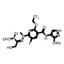 CCN(C=O)/C(CO)=N\N(C)c1nc(OCC(F)(F)F)c(C(=O)Nc2c[nH]nc2OC)cc1F